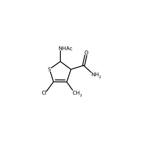 CC(=O)NC1SC(Cl)=C(C)C1C(N)=O